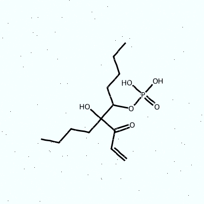 C=CC(=O)C(O)(CCCC)C(CCCC)OP(=O)(O)O